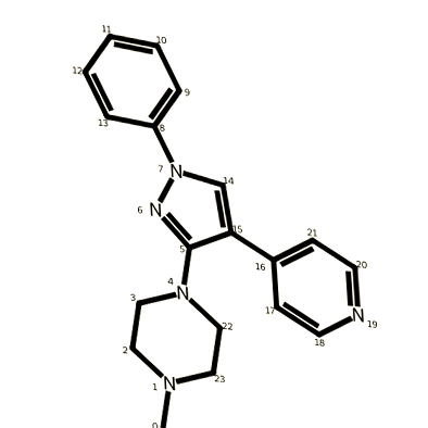 CN1CCN(c2nn(-c3ccccc3)cc2-c2ccncc2)CC1